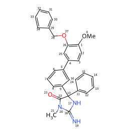 COc1ccc(-c2cccc(C3(c4ccccc4)NC(=N)N(C)C3=O)c2)cc1OCc1ccccc1